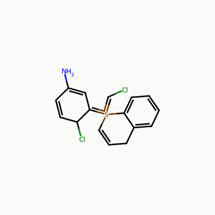 NC1=CC(=S2(=CCl)C=CCc3ccccc32)C(Cl)C=C1